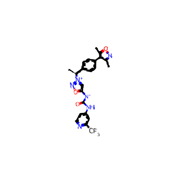 Cc1noc(C)c1-c1ccc([C@H](C)[n+]2cc([N-]C(=O)Nc3ccnc(C(F)(F)F)c3)on2)cc1